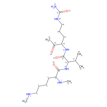 CNCCCCC(NC)C(=O)NC(C(=O)NC(CCCNC(N)=O)C(C)=O)C(C)C